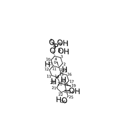 C[C@]12CC[C@@H](OP(=O)(O)O)C[C@@H]1CC[C@@H]1[C@@H]2CC[C@@]2(C)[C@H]1CC[C@@]2(O)CO